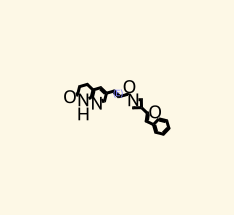 O=C1CCc2cc(/C=C/C(=O)N3CC(c4cc5ccccc5o4)C3)cnc2N1